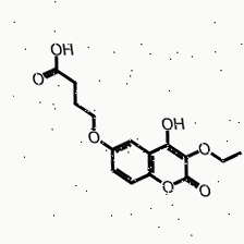 CCOc1c(O)c2cc(OCCCC(=O)O)ccc2oc1=O